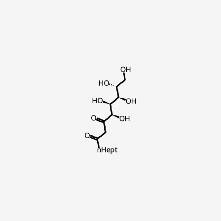 CCCCCCCC(=O)CC(=O)[C@H](O)[C@@H](O)[C@H](O)[C@H](O)CO